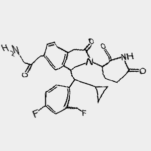 NC(=O)c1ccc2c(c1)C(C(c1ccc(F)cc1F)C1CC1)N(C1CCC(=O)NC1=O)C2=O